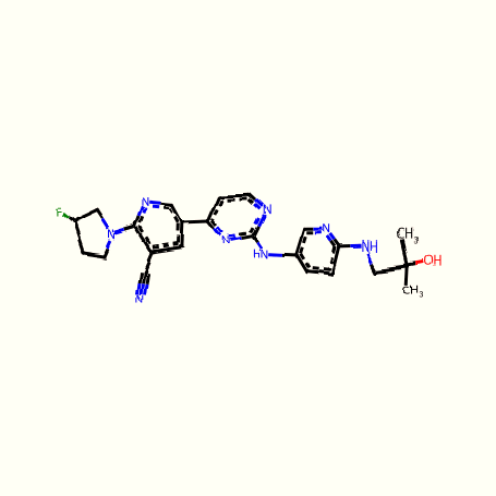 CC(C)(O)CNc1ccc(Nc2nccc(-c3cnc(N4CCC(F)C4)c(C#N)c3)n2)cn1